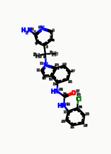 [2H]C([2H])(c1ccnc(N)c1)n1ccc2c(NC(=O)Nc3ccccc3Cl)cccc21